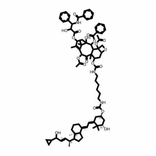 CC(=O)OC1C(=O)C2(C)C(OC(=O)NCCCCCCNC(=O)O[C@@H]3C/C(=C/C=C4\CCC[C@@]5(C)C4CCC5[C@@H](C)/C=C/C(O)C4CC4)C(C)(C)[C@@H](O)C3)CC3OCC3(OC(C)=O)C2C(OC(=O)c2ccccc2)C2(O)CC(OC(=O)C(O)C(NC(=O)c3ccccc3)c3ccccc3)C(C)=C1C2(C)C